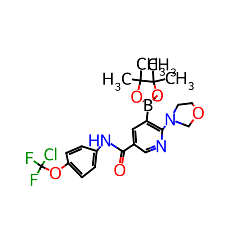 CC1(C)OB(c2cc(C(=O)Nc3ccc(OC(F)(F)Cl)cc3)cnc2N2CCOC2)OC1(C)C